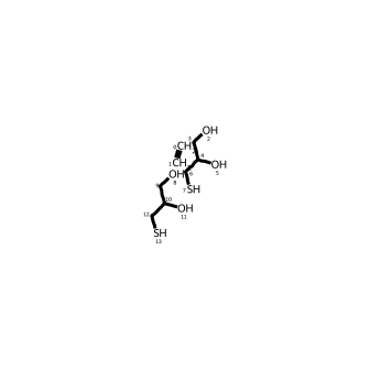 C=C.OCC(O)CS.OCC(O)CS